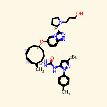 C=C1/C=C\C=C/C[C@H](Oc2ccc3nnc([C@@H]4CCCN4CCCO)n3c2)CC[C@@H]1NC(=O)Nc1cc(C(C)(C)C)nn1-c1ccc(C)cc1